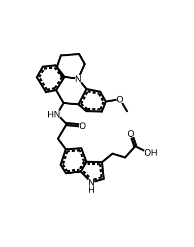 COc1ccc(C(NC(=O)Cc2ccc3[nH]cc(CCC(=O)O)c3c2)c2ccccc2)c(N2CCCCC2)c1